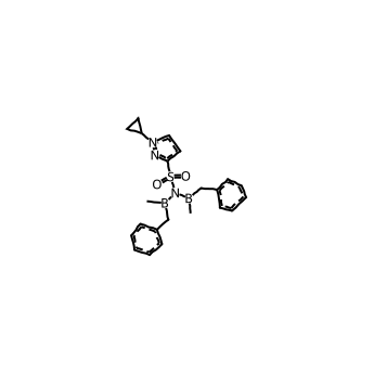 CB(Cc1ccccc1)N(B(C)Cc1ccccc1)S(=O)(=O)c1ccn(C2CC2)n1